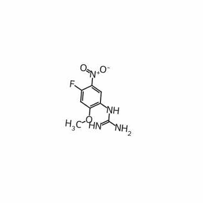 COc1cc(F)c([N+](=O)[O-])cc1NC(=N)N